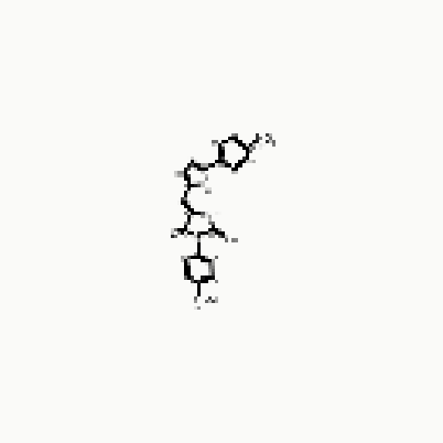 COc1ccc(N2C(=O)C(=Cc3ccc(-c4ccc([N+](=O)[O-])cc4)o3)SC2=S)cc1